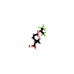 CC1(C)C(/C=C\C(=O)OC(C(F)(F)F)C(F)(F)F)C1C(=O)O